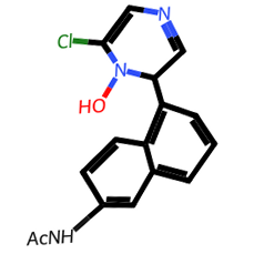 CC(=O)Nc1ccc2c(C3C=NC=C(Cl)N3O)cccc2c1